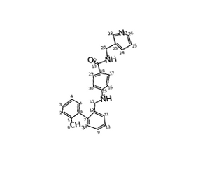 Cc1ccccc1-c1ccccc1CNc1ccc(C(=O)NCc2cccnc2)cc1